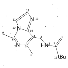 C=C(NCc1c(C)nc(C)n2ccnc12)C(C)(C)C